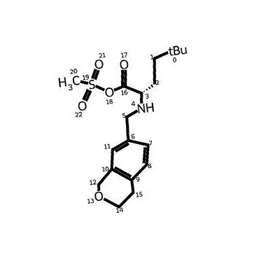 CC(C)(C)CC[C@H](NCc1ccc2c(c1)COCC2)C(=O)OS(C)(=O)=O